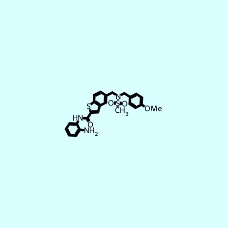 COc1ccc(CN(Cc2ccc3sc(C(=O)Nc4ccccc4N)cc3c2)S(C)(=O)=O)cc1